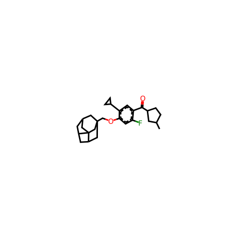 CC1CCC(C(=O)c2cc(C3CC3)c(OCC34CC5CC6CC(C3)C6(C5)C4)cc2F)C1